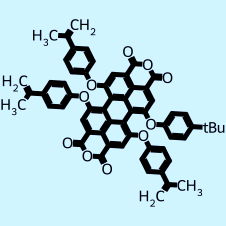 C=C(C)c1ccc(Oc2cc3c4c(cc(Oc5ccc(C(=C)C)cc5)c5c6c(Oc7ccc(C(C)(C)C)cc7)cc7c8c(cc(Oc9ccc(C(=C)C)cc9)c(c2c45)c86)C(=O)OC7=O)C(=O)OC3=O)cc1